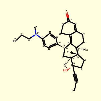 CC#C[C@]1(O)CC[C@H]2[C@@H]3CCC4=CC(=O)CCC4=C3[C@@H](c3ccc(N(C)CCC(C)C)cc3)C[C@@]21C